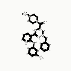 CN1CCN(C(=O)[C@H](COCc2ccccc2)NC(=O)c2cccnc2Oc2cccc(C(F)(F)F)c2)CC1